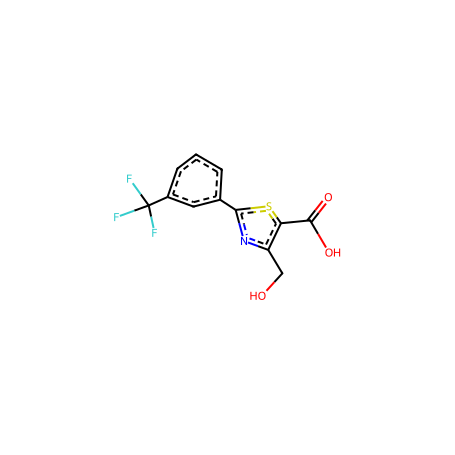 O=C(O)c1sc(-c2cccc(C(F)(F)F)c2)nc1CO